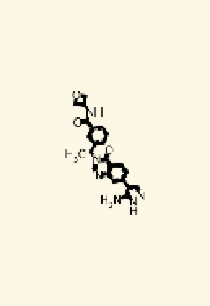 C[C@H](c1cccc(C(=O)NC2COC2)c1)n1cnc2cc(-c3cn[nH]c3N)ccc2c1=O